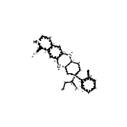 CCC(N)[C@]1(c2ccccc2C)CC[C@H](Oc2cc3cc[nH]c(=O)c3cc2Cl)CC1